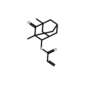 C=CC(=O)OC1C2CC3CC(C)(C2)C(=O)C1(C)C3